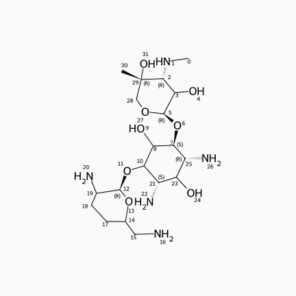 CN[C@@H]1C(O)[C@@H](O[C@@H]2C(O)C(O[C@H]3OC(CN)CCC3N)[C@@H](N)C(O)[C@H]2N)OC[C@]1(C)O